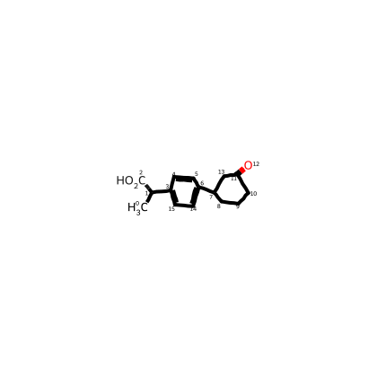 CC(C(=O)O)c1ccc(C2CCCC(=O)C2)cc1